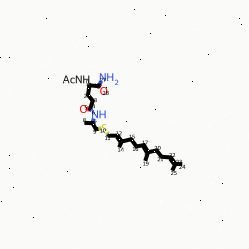 CC(=O)NC(CCC(=O)NC(C)CSC/C=C(\C)CC/C=C(\C)CCC=C(C)C)C(N)=O